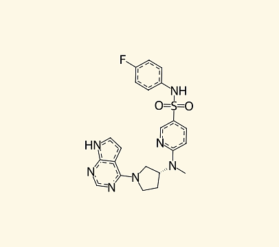 CN(c1ccc(S(=O)(=O)Nc2ccc(F)cc2)cn1)[C@@H]1CCN(c2ncnc3[nH]ccc23)C1